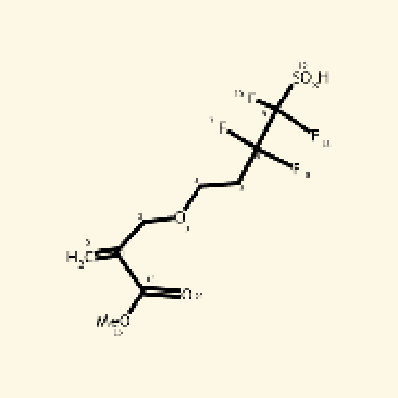 C=C(COCCC(F)(F)C(F)(F)S(=O)(=O)O)C(=O)OC